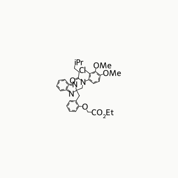 CCOC(=O)COc1ccccc1CC1(CN(C(=O)CCC(C)C)c2ccc(OC)c(OC)c2Cl)N=c2ccccc2=N1